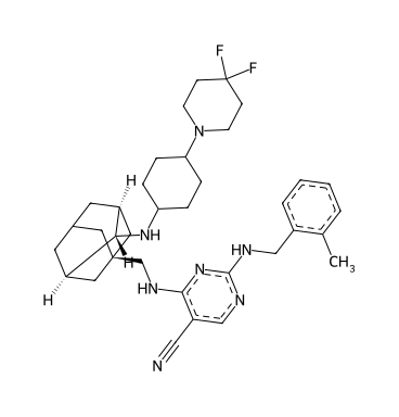 Cc1ccccc1CNc1ncc(C#N)c(NC[C@]23CC4C[C@H](C2)[C@@H](NC2CCC(N5CCC(F)(F)CC5)CC2)[C@@H](C4)C3)n1